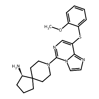 COc1ccccc1Sc1cnc(N2CCC3(CCC[C@H]3N)CC2)n2ccnc12